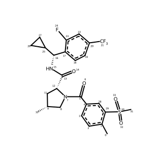 Cc1ccc(C(=O)N2C[C@H](C)C[C@@H]2C(=O)N[C@@H](c2ccc(C(F)(F)F)cc2F)C2CC2)cc1S(C)(=O)=O